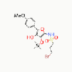 COc1ccc(-c2oc(NS(=O)(=O)CCCBr)c(O[Si](C)(C)C)c2O)cc1